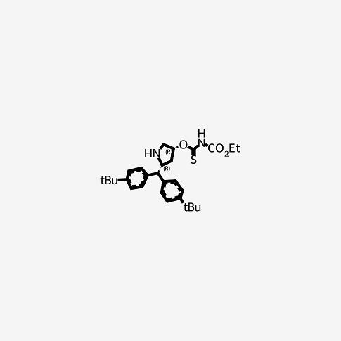 CCOC(=O)NC(=S)O[C@H]1CN[C@@H](C(c2ccc(C(C)(C)C)cc2)c2ccc(C(C)(C)C)cc2)C1